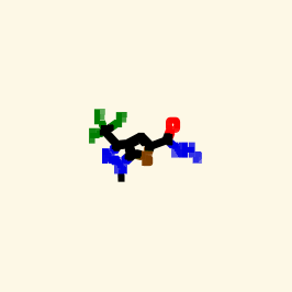 Cn1nc(C(F)(F)F)c2cc(C(N)=O)sc21